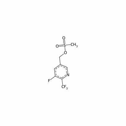 CS(=O)(=O)OCc1cnc(C(F)(F)F)c(F)c1